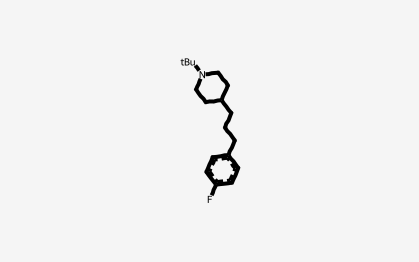 CC(C)(C)N1CCC(CCCc2ccc(F)cc2)CC1